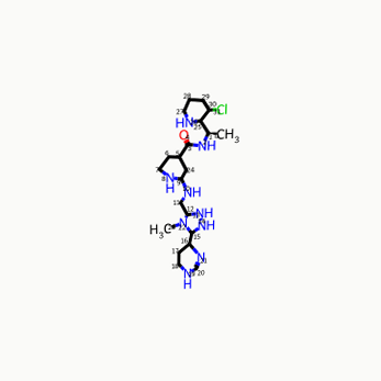 C[C@@H](NC(=O)C1CCNC(NCC2NNC(C3CCNC=N3)N2C)C1)C1NCCCC1Cl